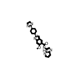 COc1cc2nn(C3CCC(n4nccn4)CC3)cc2cc1C(=O)Nc1cnc2cccnn12